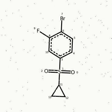 O=S(=O)(c1ccc(Br)c(F)c1)C1CC1